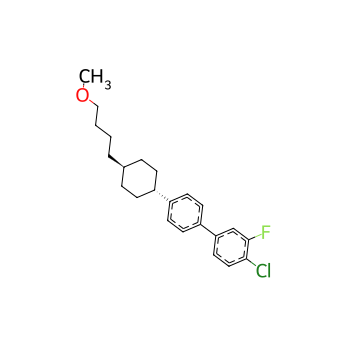 COCCCC[C@H]1CC[C@H](c2ccc(-c3ccc(Cl)c(F)c3)cc2)CC1